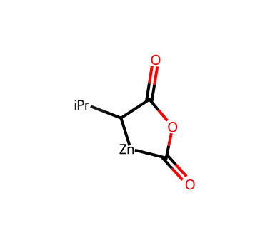 CC(C)[CH]1[Zn][C](=O)OC1=O